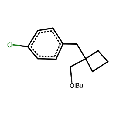 CC(C)COCC1(Cc2ccc(Cl)cc2)CCC1